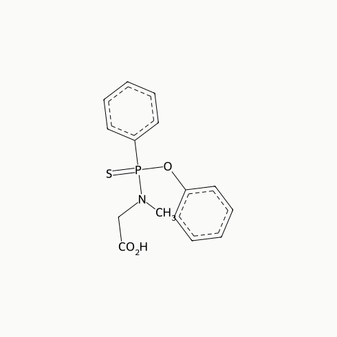 CN(CC(=O)O)P(=S)(Oc1ccccc1)c1ccccc1